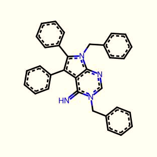 N=c1c2c(-c3ccccc3)c(-c3ccccc3)n(Cc3ccccc3)c2ncn1Cc1ccccc1